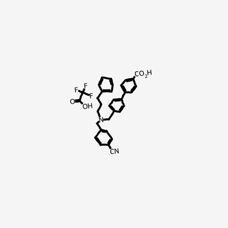 N#Cc1ccc(CN(CCCc2ccccc2)Cc2ccc(-c3ccc(C(=O)O)cc3)cc2)cc1.O=C(O)C(F)(F)F